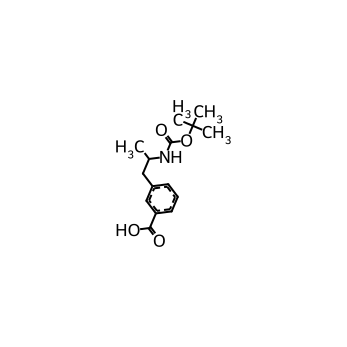 CC(Cc1cccc(C(=O)O)c1)NC(=O)OC(C)(C)C